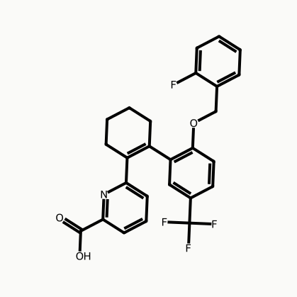 O=C(O)c1cccc(C2=C(c3cc(C(F)(F)F)ccc3OCc3ccccc3F)CCCC2)n1